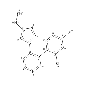 CCCNc1ncc(-c2ccncc2-c2ccc(F)cc2Cl)s1